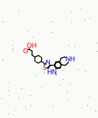 CNc1cc2c(cc1-c1csc(C3CCC(CCC(=O)O)CC3)n1)CCNCC2